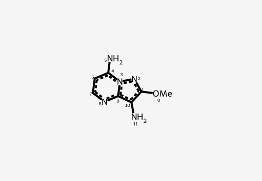 COc1nn2c(N)ccnc2c1N